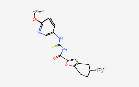 CCCCCOc1ccc(NC(=S)NC(=O)c2cc3c(o2)CCC(C(=O)O)C3)cn1